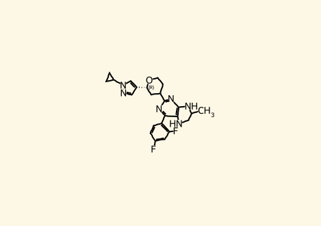 CC1CNc2c(nc(C3CCO[C@@H](c4cnn(C5CC5)c4)C3)nc2-c2ccc(F)cc2F)N1